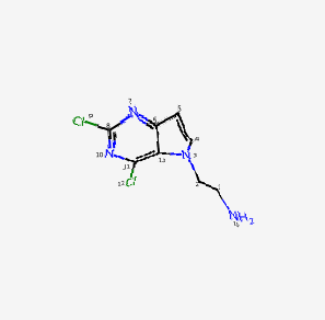 NCCn1ccc2nc(Cl)nc(Cl)c21